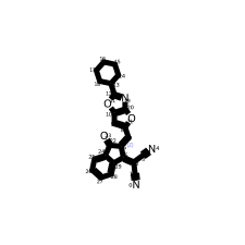 N#CC(C#N)=C1/C(=C/c2cc3oc(C4CCCCC4)nc3o2)C(=O)c2ccccc21